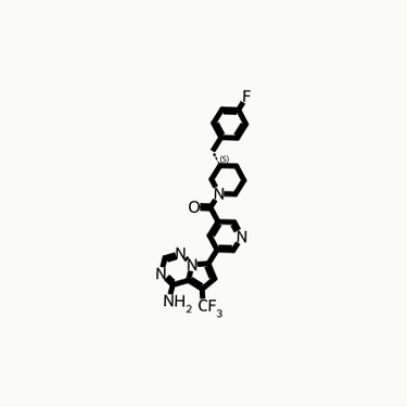 Nc1ncnn2c(-c3cncc(C(=O)N4CCC[C@@H](Cc5ccc(F)cc5)C4)c3)cc(C(F)(F)F)c12